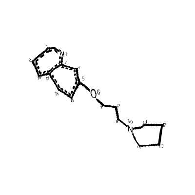 c1cnc2cc(OCCCN3CCCC3)ccc2c1